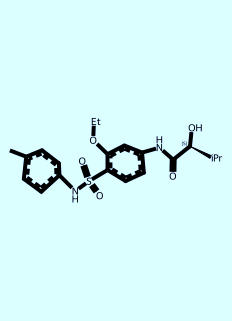 CCOc1cc(NC(=O)[C@@H](O)C(C)C)ccc1S(=O)(=O)Nc1ccc(C)cc1